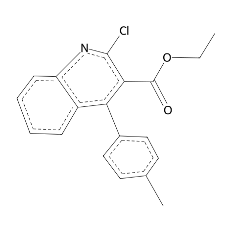 CCOC(=O)c1c(Cl)nc2ccccc2c1-c1ccc(C)cc1